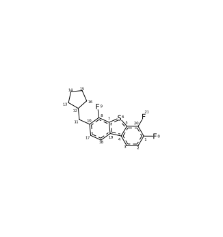 Fc1ccc2c(sc3c(F)c(CC4CCCC4)ccc32)c1F